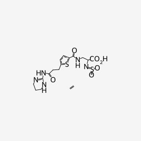 C=C.O=C(CCc1ccc(C(=O)NC[C@H](N=S(=O)=O)C(=O)O)s1)NC1=NCCCN1